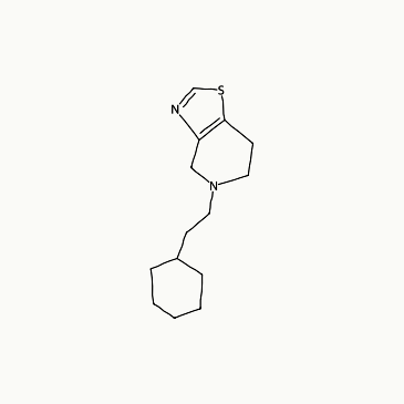 c1nc2c(s1)CCN(CCC1CCCCC1)C2